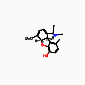 COC1=CC=C2C(C)N(C)CC[C@@]23c2c(C)ccc(O)c2O[C@@H]13